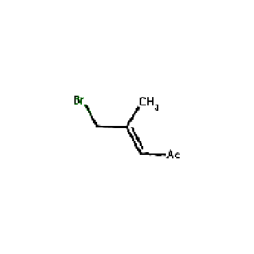 CC(=O)/C=C(\C)CBr